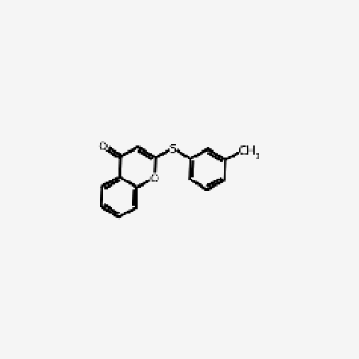 Cc1cccc(Sc2cc(=O)c3ccccc3o2)c1